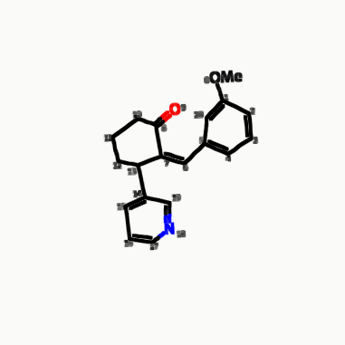 COc1cccc(C=C2C(=O)CCCC2c2cccnc2)c1